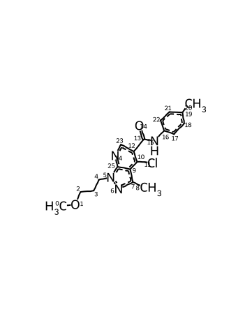 COCCCn1nc(C)c2c(Cl)c(C(=O)Nc3ccc(C)cc3)cnc21